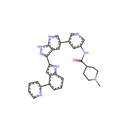 CN1CCC(C(=O)Nc2cncc(-c3cnc4[nH]nc(-c5cc6c(-c7ccccn7)cccc6[nH]5)c4c3)c2)CC1